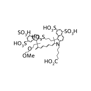 C=C(/C=C/C=C/C=C1/N(CCCCCC(=O)O)c2ccc3c(S(=O)(=O)O)cc(S(=O)(=O)O)cc3c2C1(C)CCCS(=O)(=O)O)C(C)(CCOCCOC)c1c(C)ccc2c(S(=O)(=O)O)cc(S(=O)(=O)O)cc12